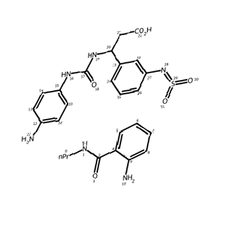 CCCNC(=O)c1ccccc1N.Nc1ccc(NC(=O)NC(CC(=O)O)c2cccc(N=S(=O)=O)c2)cc1